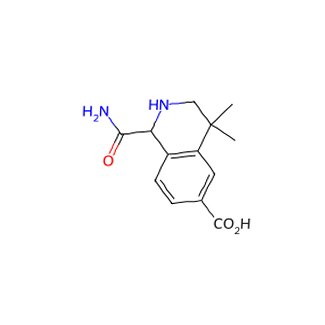 CC1(C)CNC(C(N)=O)c2ccc(C(=O)O)cc21